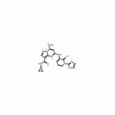 CNc1cc(Nc2cccn(-c3ncco3)c2=O)nc2c(C(=O)NC3CC3)cnn12